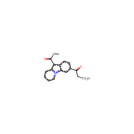 CCOC(=O)CC(=O)c1ccc2c(C(=O)OC)c3ccccn3c2c1